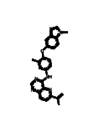 C=C(C)c1ccc2ncnc(Nc3ccc(Oc4ccc5c(c4)ncn5C)c(C)c3)c2n1